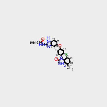 COC(=O)Nc1nc2cc(Oc3ccc(N(C(N)=O)c4cc(C(F)(F)F)ccc4F)cc3)ccc2[nH]1